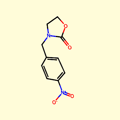 O=C1OCCN1Cc1ccc([N+](=O)[O-])cc1